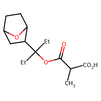 CCC(CC)(OC(=O)C(C)C(=O)O)C1CC2CCC1O2